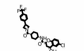 O=C(N[C@H]1CC[C@H](C(=O)N2CC(c3ccc(C(F)(F)F)cc3)C2)CC1)[C@H]1C[C@@H](O)c2cc(Cl)ccc2O1